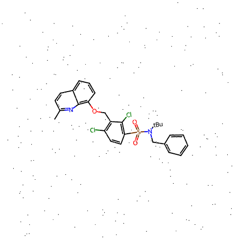 Cc1ccc2cccc(OCc3c(Cl)ccc(S(=O)(=O)N(Cc4ccccc4)C(C)(C)C)c3Cl)c2n1